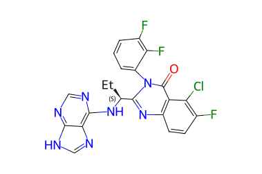 CC[C@H](Nc1ncnc2[nH]cnc12)c1nc2ccc(F)c(Cl)c2c(=O)n1-c1cccc(F)c1F